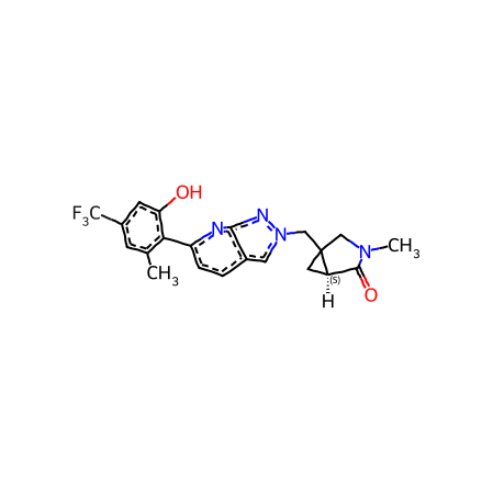 Cc1cc(C(F)(F)F)cc(O)c1-c1ccc2cn(CC34C[C@@H]3C(=O)N(C)C4)nc2n1